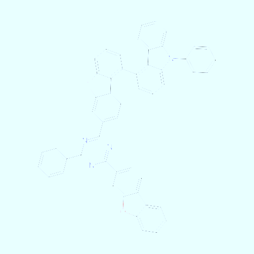 c1ccc(-c2nc(-c3ccc4c(c3)oc3ccccc34)nc(-c3ccc4c(c3)oc3cccc(-c5cccc6c5c5ccccc5n6-c5ccccc5)c34)n2)cc1